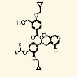 O=C(O[C@@H](Cc1c(Cl)cncc1Cl)c1ccc(OC(F)F)c(OCC2CC2)c1)c1ccc(OCC2CC2)c(CO)c1